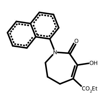 CCOC(=O)C1=C(O)C(=O)N(c2cccc3ccccc23)CCC1